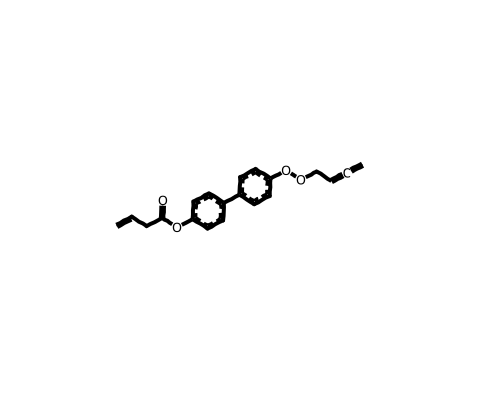 C=C=CCOOc1ccc(-c2ccc(OC(=O)CC=C)cc2)cc1